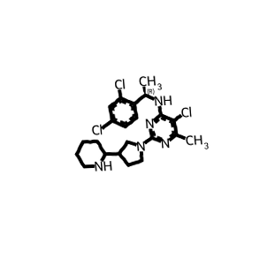 Cc1nc(N2CCC(C3CCCCN3)C2)nc(N[C@H](C)c2ccc(Cl)cc2Cl)c1Cl